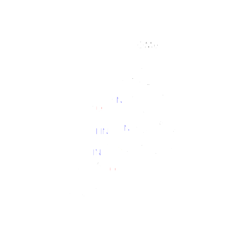 COc1ccc(CN2C(=O)C(NC(=S)NC(=O)c3ccccc3)N=C(c3ccccc3)c3ccccc32)cc1